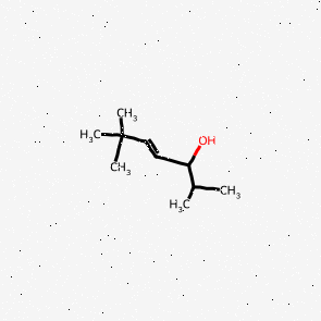 CC(C)C(O)/C=C/C(C)(C)C